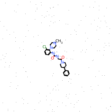 CN1CCN(c2c(Cl)cccc2[N]C(=O)[N]CC(=O)N2CCC(c3ccccc3)CC2)CC1